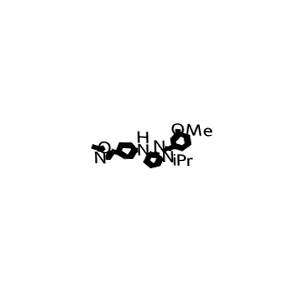 COc1cccc(-c2nc3c(Nc4ccc(-c5cnc(C)o5)cc4)cccc3n2C(C)C)c1